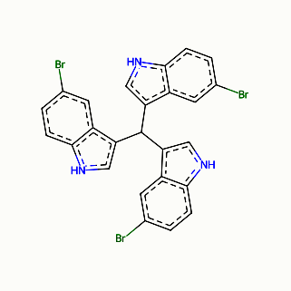 Brc1ccc2[nH]cc(C(c3c[nH]c4ccc(Br)cc34)c3c[nH]c4ccc(Br)cc34)c2c1